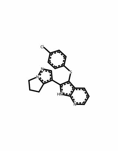 Clc1ccc(Sc2c(-c3cnn4c3CCC4)[nH]c3ncccc23)cc1